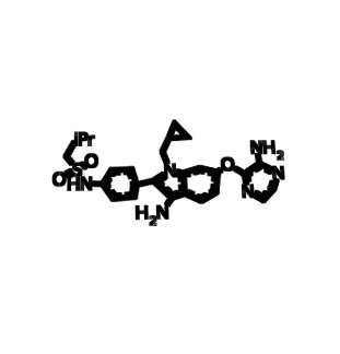 CC(C)CS(=O)(=O)Nc1ccc(-c2c(N)c3ccc(Oc4nccnc4N)cc3n2CC2CC2)cc1